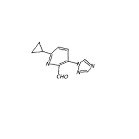 O=Cc1nc(C2CC2)ccc1-n1cncn1